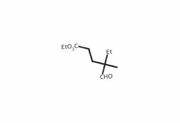 CCOC(=O)CCC(C)(C=O)CC